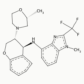 C[C@@H]1CN([C@H]2COc3ccccc3[C@@H]2Nc2cccc3c2nc(C(F)(F)F)n3C)CCO1